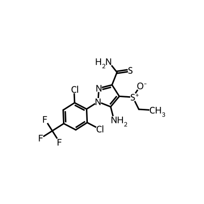 CC[S+]([O-])c1c(C(N)=S)nn(-c2c(Cl)cc(C(F)(F)F)cc2Cl)c1N